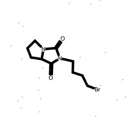 O=C1C2CCCN2C(=O)N1CCCCBr